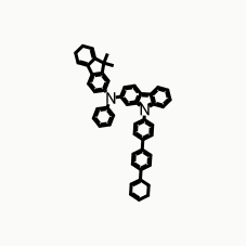 CC1(C)C2=CCCC=C2c2ccc(N(c3ccccc3)c3ccc4c5ccccc5n(-c5ccc(-c6ccc(C7=CC=CCC7)cc6)cc5)c4c3)cc21